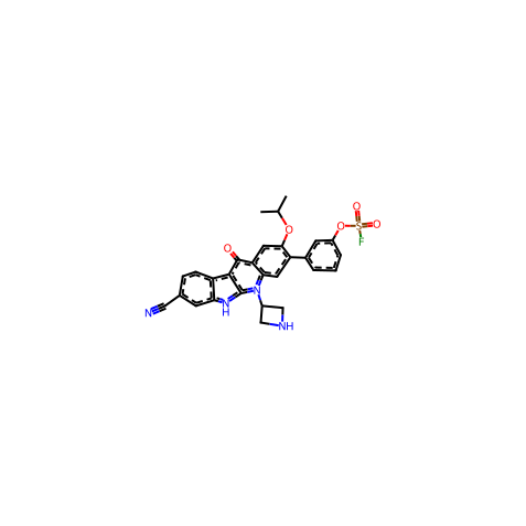 CC(C)Oc1cc2c(=O)c3c4ccc(C#N)cc4[nH]c3n(C3CNC3)c2cc1-c1cccc(OS(=O)(=O)F)c1